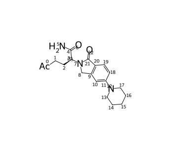 CC(=O)CC[C@@H](C(N)=O)N1Cc2cc(N3CCCCC3)ccc2C1=O